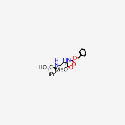 COC(=O)[C@@H](CCN[C@@H](CC(C)C)C(=O)O)NC(=O)OCc1ccccc1